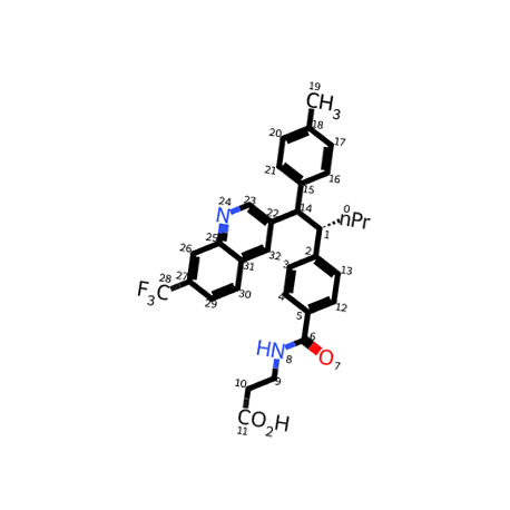 CCC[C@H](c1ccc(C(=O)NCCC(=O)O)cc1)C(c1ccc(C)cc1)c1cnc2cc(C(F)(F)F)ccc2c1